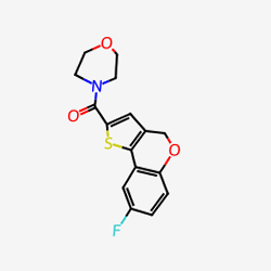 O=C(c1cc2c(s1)-c1cc(F)ccc1OC2)N1CCOCC1